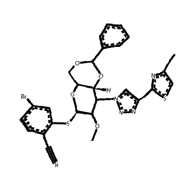 COC1C(n2cc(-c3nc(C)cs3)nn2)[C@H]2OC(c3ccccc3)OCC2O[C@@H]1Sc1cc(Br)ccc1C#N